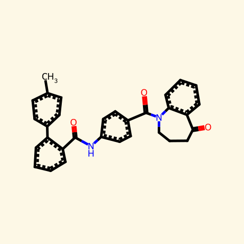 Cc1ccc(-c2ccccc2C(=O)Nc2ccc(C(=O)N3CCCC(=O)c4ccccc43)cc2)cc1